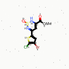 COC(=O)C1=CC(c2cc(Br)c(Cl)s2)=N[S+]([O-])N1